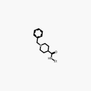 CCNC(=O)C1CCN(Cc2ccccc2)CC1